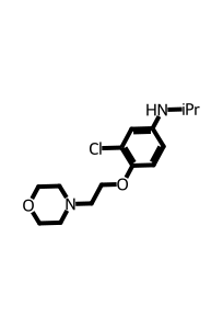 CC(C)Nc1ccc(OCCN2CCOCC2)c(Cl)c1